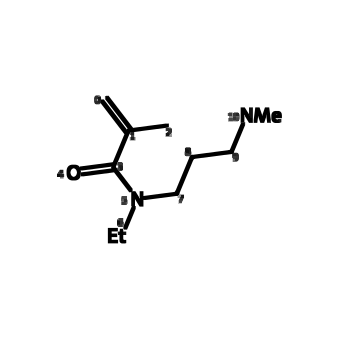 C=C(C)C(=O)N(CC)CCCNC